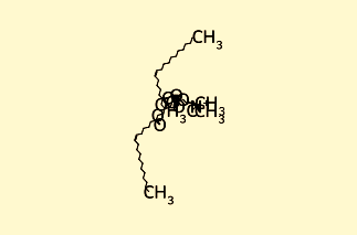 CCCCCCCCCCC/C=C\CCCCC(=O)OC[C@H](COP(=O)([O-])OCC[N+](C)(C)C)OC(=O)CCCC/C=C\CCCCCCCCCCC